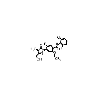 Cn1c(CO)nn(-c2cc(OCC(F)(F)F)c(C(=O)Nc3c(F)cccc3Cl)cc2F)c1=O